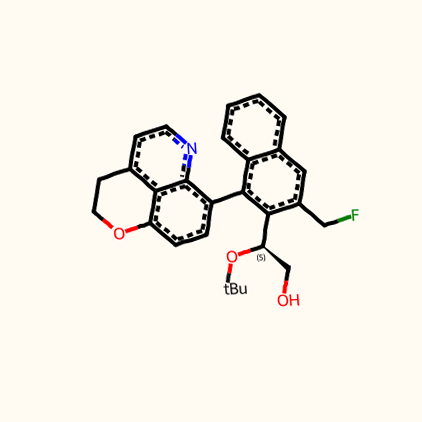 CC(C)(C)O[C@H](CO)c1c(CF)cc2ccccc2c1-c1ccc2c3c(ccnc13)CCO2